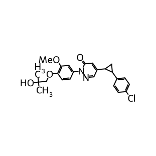 COc1cc(-n2ncc(C3CC3c3ccc(Cl)cc3)cc2=O)ccc1OCC(C)(C)O